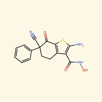 N#CC1(c2ccccc2)CCc2c(sc(N)c2C(=O)NO)C1=O